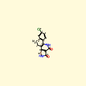 CCc1c(-c2ccc(Cl)cc2)[nH]c(=O)c2c(=O)[nH]sc12